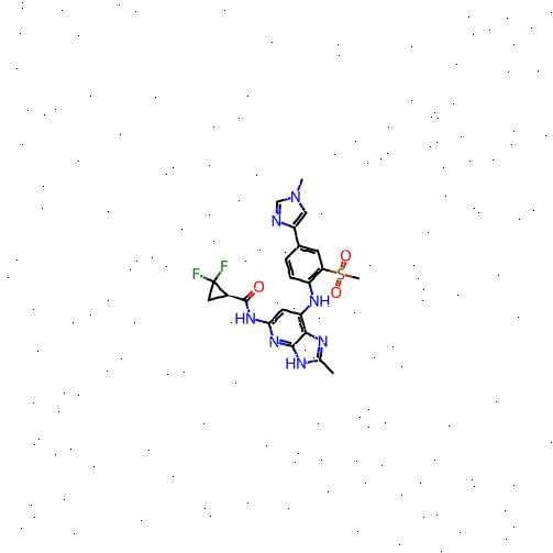 Cc1nc2c(Nc3ccc(-c4cn(C)cn4)cc3S(C)(=O)=O)cc(NC(=O)[C@H]3CC3(F)F)nc2[nH]1